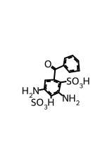 Nc1cc(C(=O)c2ccccc2)c(S(=O)(=O)O)c(N)c1S(=O)(=O)O